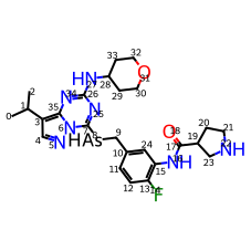 CC(C)c1cnn2c([AsH]Cc3ccc(F)c(NC(=O)C4CCNC4)c3)nc(NC3CCOCC3)nc12